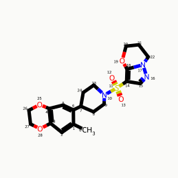 Cc1cc2c(cc1C1CCN(S(=O)(=O)c3cnn4c3OCCC4)CC1)OCCO2